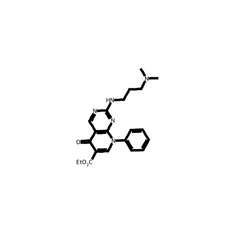 CCOC(=O)c1cn(-c2ccccc2)c2nc(NCCCN(C)C)ncc2c1=O